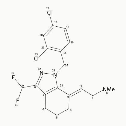 CNC/C=C1\CCCc2c(C(F)F)nn(Cc3ccc(Cl)cc3Cl)c21